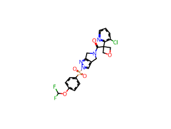 O=C(N1Cc2cn(S(=O)(=O)c3ccc(OC(F)F)cc3)nc2C1)C1(c2ncccc2Cl)COC1